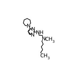 CCCCCCN(C)CCNc1nccc(N2CCCCCC2)n1